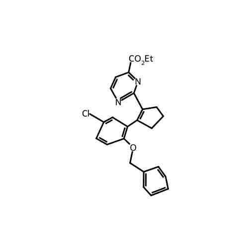 CCOC(=O)c1ccnc(C2=C(c3cc(Cl)ccc3OCc3ccccc3)CCC2)n1